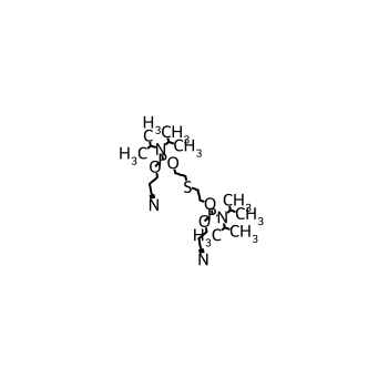 CC(C)N(C(C)C)P(OCCC#N)OCCSCCOP(OCCC#N)N(C(C)C)C(C)C